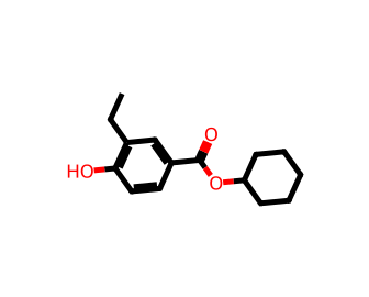 CCc1cc(C(=O)OC2CCCCC2)ccc1O